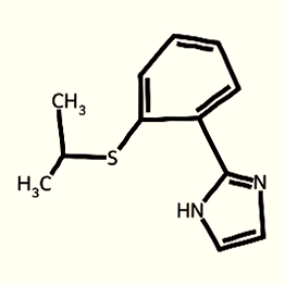 CC(C)Sc1ccccc1-c1ncc[nH]1